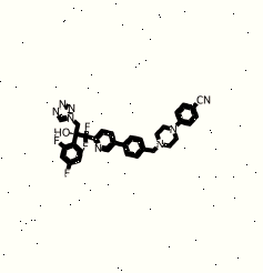 N#Cc1ccc(N2CCN(Cc3ccc(-c4ccc(C(F)(F)[C@](O)(Cn5cnnn5)c5ccc(F)cc5F)nc4)cc3)CC2)cc1